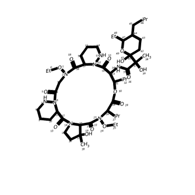 CCON1CC(=O)N2NCCCC2C(=O)N2CCC(C)(O)C2C(=O)N(OCC)C(C(C)C)C(=O)OC(C(C)C)C(NC(=O)C(C)(O)C2(O)CCC(CC(C)C)C(CC)O2)C(=O)N2NCCCC2C1=O